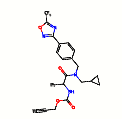 C#CCOC(=O)NC(C(=O)N(Cc1ccc(-c2noc(C(F)(F)F)n2)cc1)CC1CC1)C(C)C